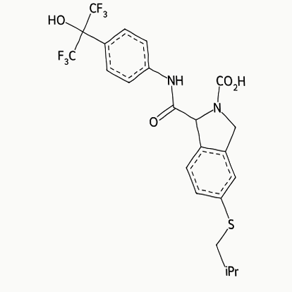 CC(C)CSc1ccc2c(c1)CN(C(=O)O)C2C(=O)Nc1ccc(C(O)(C(F)(F)F)C(F)(F)F)cc1